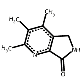 Cc1nc2c(c(C)c1C)CNC2=O